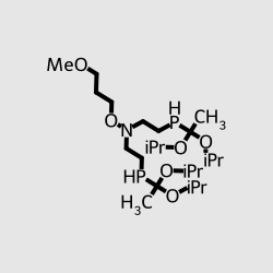 COCCCON(CCPC(C)(OC(C)C)OC(C)C)CCPC(C)(OC(C)C)OC(C)C